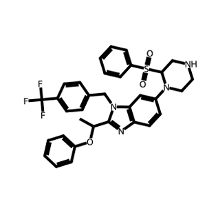 CC(Oc1ccccc1)c1nc2ccc(N3CCNCC3S(=O)(=O)c3ccccc3)cc2n1Cc1ccc(C(F)(F)F)cc1